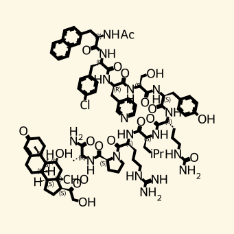 CC(=O)N[C@H](Cc1ccc2ccccc2c1)C(=O)N[C@H](Cc1ccc(Cl)cc1)C(=O)N[C@H](Cc1cccnc1)C(=O)N[C@@H](CO)C(=O)N[C@@H](Cc1ccc(O)cc1)C(=O)N[C@H](CCCNC(N)=O)C(=O)N[C@@H](CC(C)C)C(=O)N[C@@H](CCCNC(=N)N)C(=O)N1CCC[C@H]1C(=O)N[C@H](C)C(N)=O.C[C@]12CCC(=O)C=C1CC[C@@H]1[C@@H]2[C@@H](O)C[C@]2(C=O)[C@@H](C(=O)CO)CC[C@@H]12